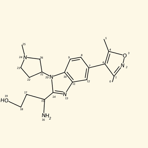 Cc1noc(C)c1-c1ccc2c(c1)nc(C(N)CCO)n2C1CCN(C)C1